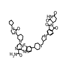 NC(=O)c1ncc(N2CCCC(N3CCN(C4CCCC4)C3=O)C2)nc1Nc1ccc(C2CCN(CC3CCN(c4ccc5c(c4)C(=O)N(C4CCC(=O)NC4=O)C5=O)C3)CC2)cc1F